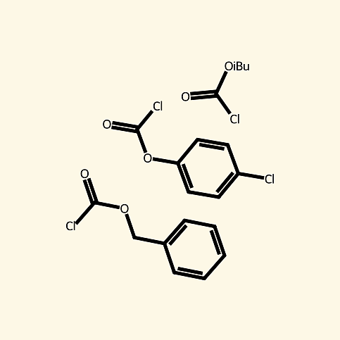 CC(C)COC(=O)Cl.O=C(Cl)OCc1ccccc1.O=C(Cl)Oc1ccc(Cl)cc1